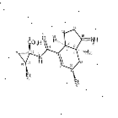 CC[C@H]1C=C(C(=O)N[C@@]2(C(=O)O)C[C@@H]2CC)[C@H]2CCC(=N)[C@H]2C1